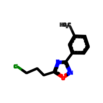 O=C(O)c1cccc(-c2noc(CCCCl)n2)c1